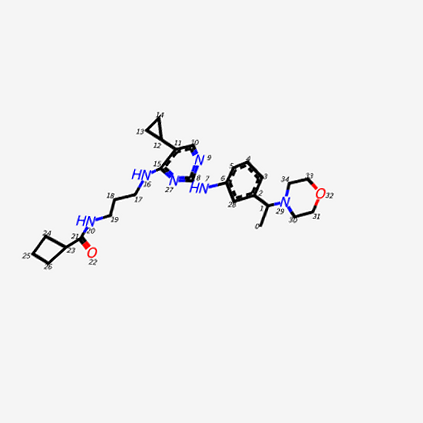 CC(c1cccc(Nc2ncc(C3CC3)c(NCCCNC(=O)C3CCC3)n2)c1)N1CCOCC1